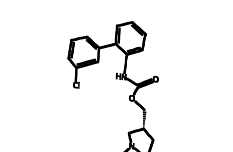 CN1CC[C@@H](COC(=O)Nc2ccccc2-c2cccc(Cl)c2)C1